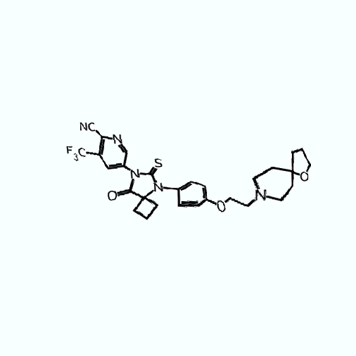 N#Cc1ncc(N2C(=O)C3(CCC3)N(c3ccc(OCCN4CCC5(CCCO5)CC4)cc3)C2=S)cc1C(F)(F)F